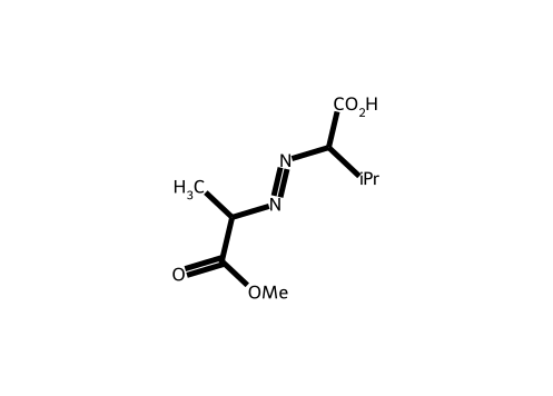 COC(=O)C(C)N=NC(C(=O)O)C(C)C